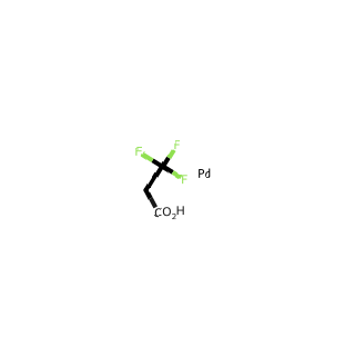 O=C(O)CC(F)(F)F.[Pd]